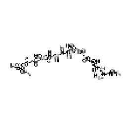 CNCCN(C)CCNC(=O)OCC(O)COC(=O)CCC(=O)OCC(CO)OC(=O)NCCNCCNCCNC(=O)OCC(O)COC(=O)CCC(=O)OCC(CO)OC(C)=O